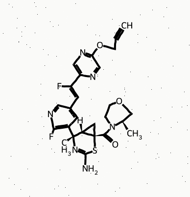 C#CCOc1cnc(/C(F)=C/c2cnc(F)c([C@@]3(C)N=C(N)S[C@@]4(C(=O)N5CCOC[C@H]5C)C[C@H]43)c2)cn1